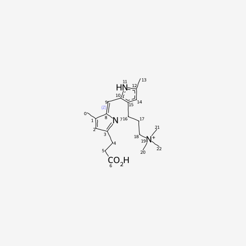 CC1=CC(CCC(=O)O)=N/C1=C\c1[nH]c(C)cc1CCC[N+](C)(C)C